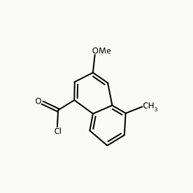 COc1cc(C(=O)Cl)c2cccc(C)c2c1